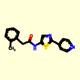 Cc1ccccc1CC(=O)Nc1cnc(-c2ccncc2)s1